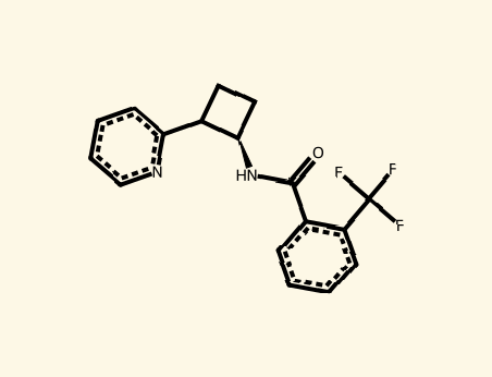 O=C(N[C@@H]1CCC1c1ccccn1)c1ccccc1C(F)(F)F